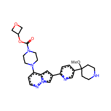 COC1(c2ccc(-c3cc4c(N5CCN(C(=O)OC6COC6)CC5)ccnn4c3)nc2)CCNCC1